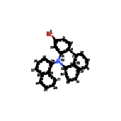 Brc1ccc(-c2ccccc2)c(N(c2ccccc2)c2cccc3ccccc23)c1